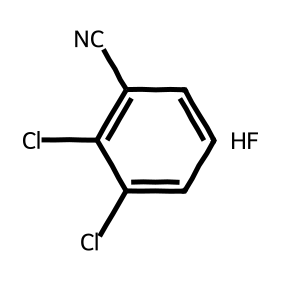 F.N#Cc1cccc(Cl)c1Cl